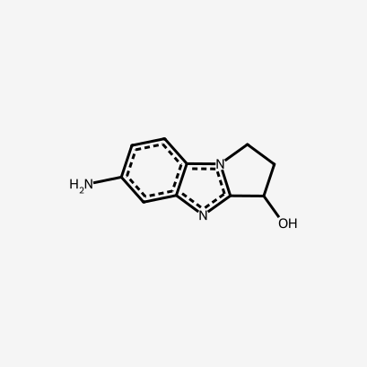 Nc1ccc2c(c1)nc1n2CCC1O